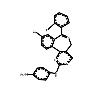 CC(=O)Nc1ccc(Nc2ncc3c(n2)-c2ccc(Cl)cc2C(c2ccccc2F)=NC3)cc1